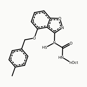 CCCCCCCCNC(=O)N(S)c1noc2cccc(OCc3ccc(C)cc3)c12